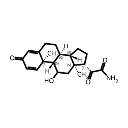 C[C@]12CC(O)[C@H]3[C@@H](CCC4=CC(=O)C=C[C@@]43C)[C@@H]1CC[C@@H]2C(=O)C(N)=O